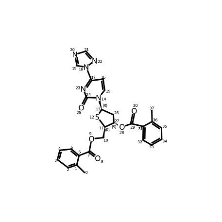 Cc1ccccc1C(=O)OC[C@H]1S[C@@H](n2ccc(-n3cncn3)nc2=O)C[C@@H]1OC(=O)c1ccccc1C